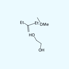 C=C(CC)CC.COC.OCCO